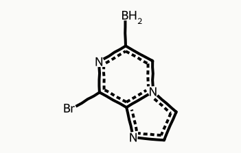 Bc1cn2ccnc2c(Br)n1